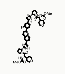 COC(=O)N[C@H](C(=O)N1CCC[C@H]1c1nc(-c2ccc3nc(-c4ccc(-c5cnc([C@@H]6CCCN6C(=O)[C@@H](NC(=O)OC)C6CCOCC6)[nH]5)cc4F)ccc3c2)c[nH]1)C1CCOCC1